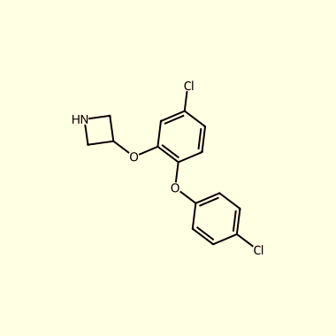 Clc1ccc(Oc2ccc(Cl)cc2OC2CNC2)cc1